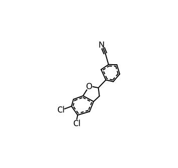 N#Cc1cccc(C2Cc3cc(Cl)c(Cl)cc3O2)c1